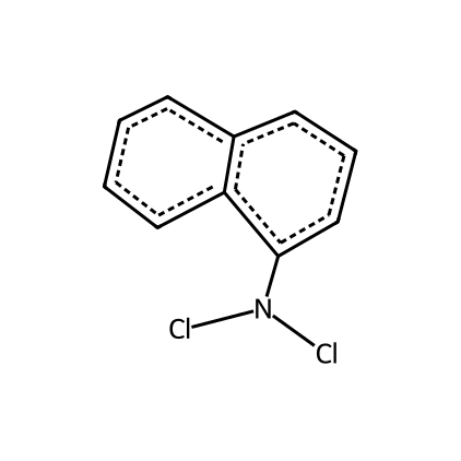 ClN(Cl)c1cccc2ccccc12